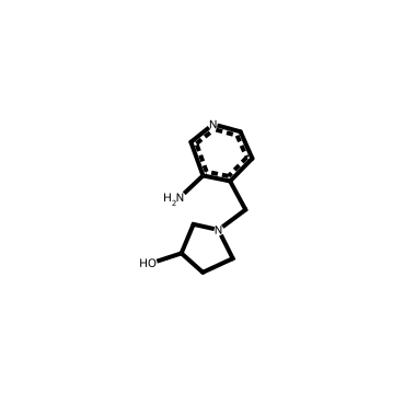 Nc1cnccc1CN1CCC(O)C1